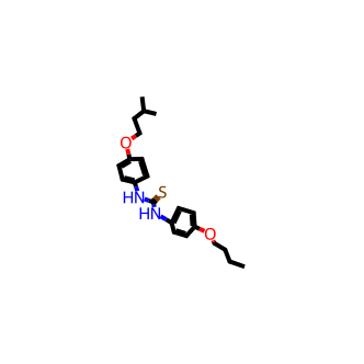 CCCCOc1ccc(NC(=S)Nc2ccc(OCCC(C)C)cc2)cc1